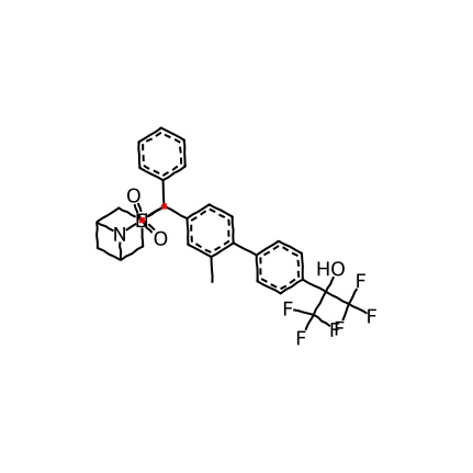 Cc1cc(CN2CC3CC(C2)N3S(=O)(=O)Cc2ccccc2)ccc1-c1ccc(C(O)(C(F)(F)F)C(F)(F)F)cc1